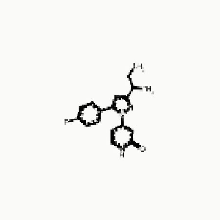 CCC(C)c1cc(-c2ccc(F)cc2)n(-c2cc[nH]c(=O)c2)n1